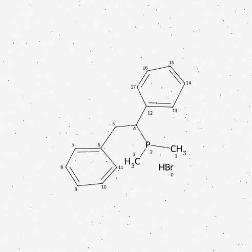 Br.CP(C)C(Cc1ccccc1)c1ccccc1